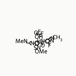 CNCC1CN(c2ccc(C(=O)Nc3cc(F)c4nn(C)cc4c3)c3nc(OC)sc23)C1.O=C(O)C(F)(F)F